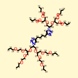 CCCOCCOCC(COCCOCCC)OCC(COC(COCCOCCC)COCCOCCC)n1cc(CCCCc2cn(C(COC(COOCCC)COOCCC)COC(COOCCC)COOCCC)nn2)nn1